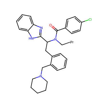 CC(C)CN(C(=O)c1ccc(Cl)cc1)C(Cc1ccccc1CN1CCCCC1)c1nc2ccccc2[nH]1